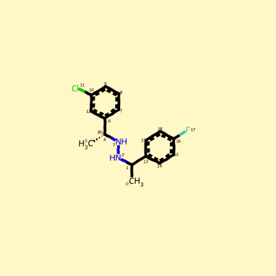 CC(NN[C@H](C)c1cccc(Cl)c1)c1ccc(F)cc1